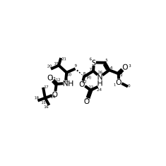 COC(=O)C1=CSC([C@@H](CC(NC(=O)OC(C)(C)C)C(C)C)OC(C)=O)N1